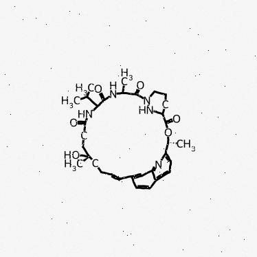 CC1NC(=O)C(C(C)C)NC(=O)CC[C@@](C)(O)CC/C=C/c2ccc3ccc(nc3c2)[C@@H](C)OC(=O)C2CCCN(N2)C1=O